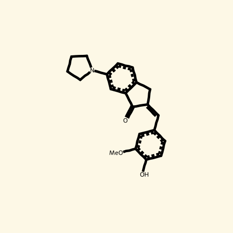 COc1cc(C=C2Cc3ccc(N4CCCC4)cc3C2=O)ccc1O